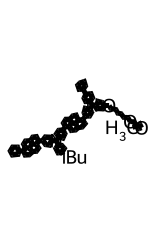 CCC(C)c1ccc(N(c2ccc(-c3ccc4c5c3C=CC3C=CC(c6ccccc6)=C(C=C4)C53)cc2)c2ccc(-c3ccc4ccc5c(-c6ccc(N(c7ccc(OCCCCCCOCC8(C)COC8)cc7)c7ccc(-c8ccccc8)cc7)cc6)ccc6ccc3c4c65)cc2)cc1